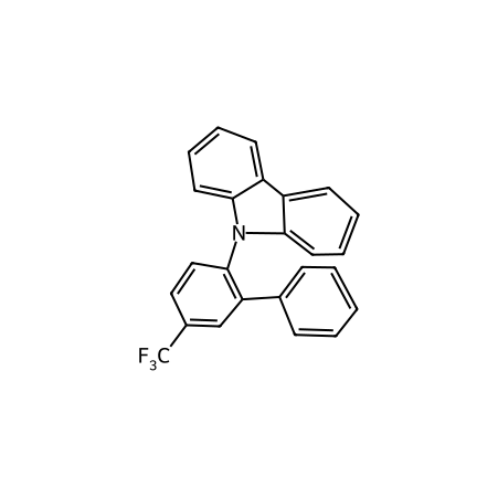 FC(F)(F)c1ccc(-n2c3ccccc3c3ccccc32)c(-c2ccccc2)c1